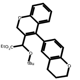 CCOC(=O)C(OC(C)(C)C)C1=C(c2ccc3c(c2)CCCO3)c2ccccc2OC1